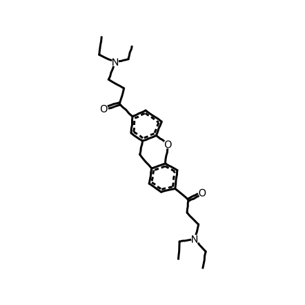 CCN(CC)CCC(=O)c1ccc2c(c1)Cc1ccc(C(=O)CCN(CC)CC)cc1O2